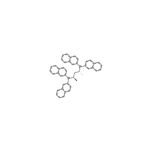 C[C@H](C[C@@H](C)P(c1ccc2ccccc2c1)c1ccc2ccccc2c1)P(c1ccc2ccccc2c1)c1ccc2ccccc2c1